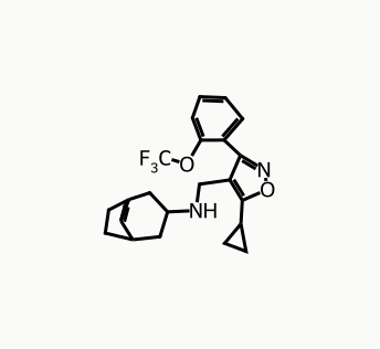 FC(F)(F)Oc1ccccc1-c1noc(C2CC2)c1CNC1CC2CCC3(C=C23)C1